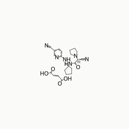 N#Cc1ccc(NCC2(NC(=O)[C@H](C#N)N3CCCC3)CCCC2)nc1.O=C(O)C=CC(=O)O